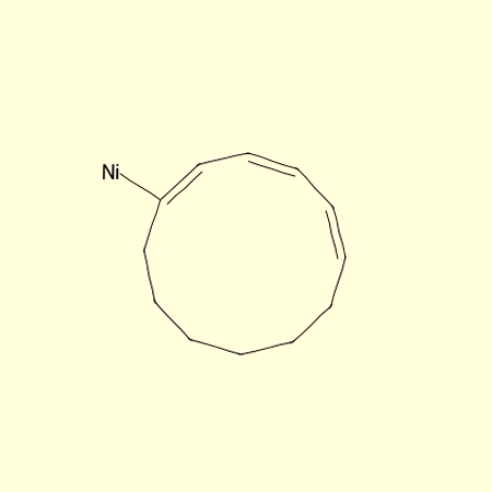 [Ni][C]1=CC=CC=CCCCCCC1